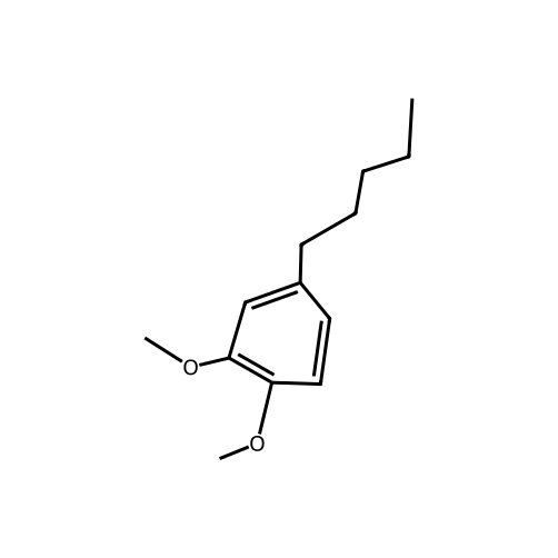 CCCCCc1ccc(OC)c(OC)c1